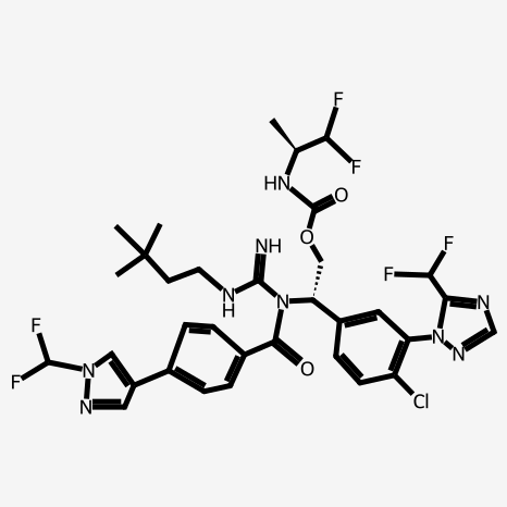 C[C@H](NC(=O)OC[C@H](c1ccc(Cl)c(-n2ncnc2C(F)F)c1)N(C(=N)NCCC(C)(C)C)C(=O)c1ccc(-c2cnn(C(F)F)c2)cc1)C(F)F